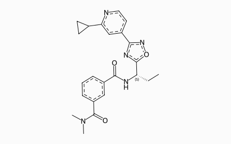 CC[C@H](NC(=O)c1cccc(C(=O)N(C)C)c1)c1nc(-c2ccnc(C3CC3)c2)no1